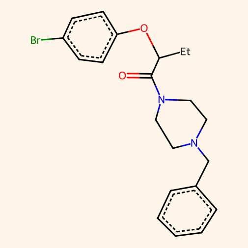 CCC(Oc1ccc(Br)cc1)C(=O)N1CCN(Cc2ccccc2)CC1